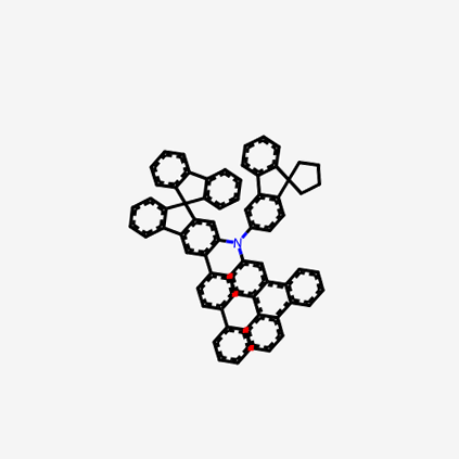 c1ccc(-c2ccc(-c3cc4c(cc3N(c3ccc5c(c3)-c3ccccc3C53CCCC3)c3ccc5c6ccccc6c6ccccc6c5c3)C3(c5ccccc5-c5ccccc53)c3ccccc3-4)cc2)cc1